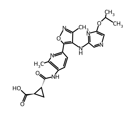 Cc1nc(-c2onc(C)c2Nc2cncc(OC(C)C)n2)ccc1NC(=O)[C@@H]1C[C@H]1C(=O)O